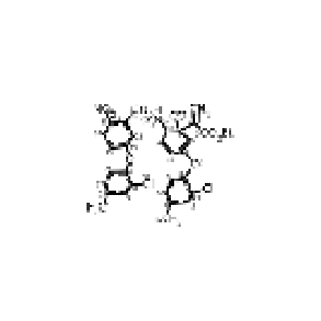 CCOC(=O)C(C)C1(C(=O)O)C=C(Oc2ccc(C(F)(F)F)cc2Cl)C=CC1[N+](=O)[O-].O=C(O)c1cc(Oc2ccc(C(F)(F)F)cc2Cl)ccc1[N+](=O)[O-]